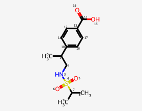 CC(CNS(=O)(=O)C(C)C)c1ccc(C(=O)O)cc1